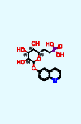 O=P(O)(O)CC[C@H]1OC(Oc2ccc3ncccc3c2)[C@@H](O)[C@@H](O)[C@@H]1O